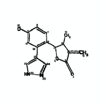 C=C1C(=O)OC(c2ccc(Cl)cc2-c2cn[nH]c2)C1C